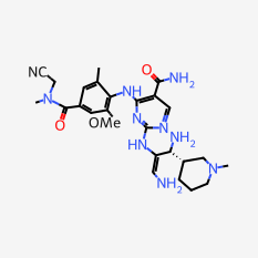 COc1cc(C(=O)N(C)CC#N)cc(C)c1Nc1nc(N/C(=C/N)C(N)[C@H]2CCCN(C)C2)ncc1C(N)=O